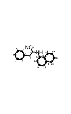 N#CC(Cc1ccccc1)Nc1cccc2ccccc12